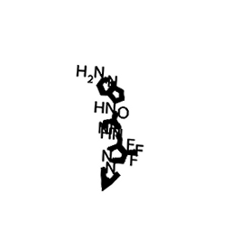 N=C/C(=C\NCc1cnc(N2CC3CC3C2)cc1C(F)(F)F)C(=O)N[C@@H]1CCc2nc(N)ccc21